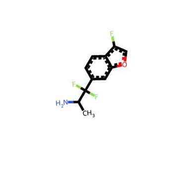 CC(N)C(F)(F)c1ccc2c(F)coc2c1